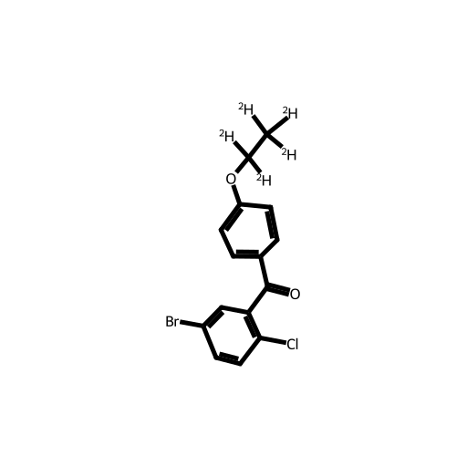 [2H]C([2H])([2H])C([2H])([2H])Oc1ccc(C(=O)c2cc(Br)ccc2Cl)cc1